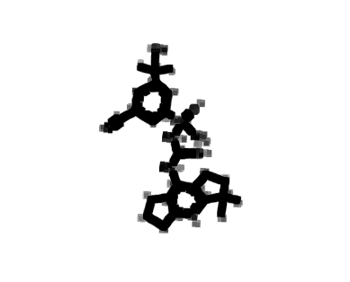 CC(C)(O)c1cc(C#N)cc([SH](N)(=O)NC(=O)Nc2c3c(nc4c2CCC4(C)C)CCC3)c1